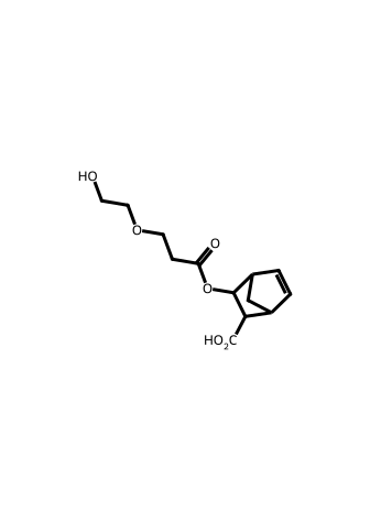 O=C(CCOCCO)OC1C2C=CC(C2)C1C(=O)O